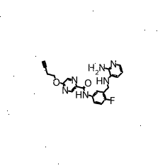 C#CCCOc1cnc(C(=O)Nc2ccc(F)c(CNc3cccnc3N)c2)cn1